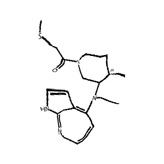 CSCC(=O)N1CC[C@@H](C)C(N(C)c2ccnc3[nH]ccc23)C1